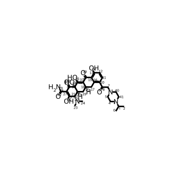 CC(C)N1CCN(CC(=O)c2ccc(O)c3c2C[C@H]2C[C@H]4[C@H](N(C)C)C(O)=C(C(N)=O)C(=O)[C@@]4(O)C(O)=C2C3=O)CC1